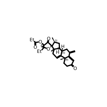 C=C1C[C@@H]2C(=CC[C@@]3(C)[C@H]2C[C@H](C)[C@]3(OC(=O)CC)C(=O)COC(=O)CC)[C@@]2(C)CCC(=O)C=C12